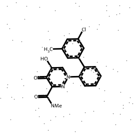 CNC(=O)c1nn(-c2ccccc2-c2cc(C)cc(Cl)c2)cc(O)c1=O